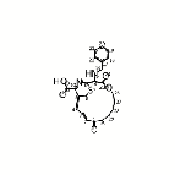 O=C1/C=C/C=C2\CSC(N=C2C(=O)O)C(NCc2ccccc2)C(=O)OCCCCC1